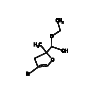 CCOC(O)C1(C)CC(Br)=CO1